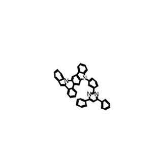 c1ccc(-c2cc(-c3ccccc3)nc(-c3cccc(-n4c5ccccc5c5cc6c(cc54)c4ccccc4c4cc5ccccc5n46)c3)n2)cc1